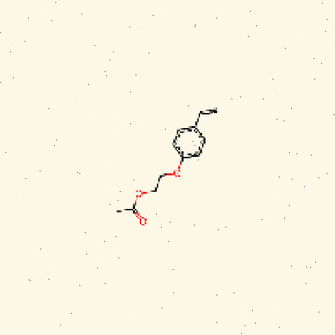 C=Cc1ccc(OCCOC(C)=O)cc1